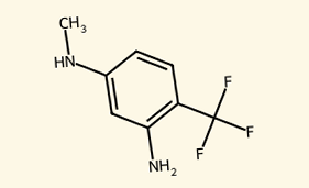 CNc1ccc(C(F)(F)F)c(N)c1